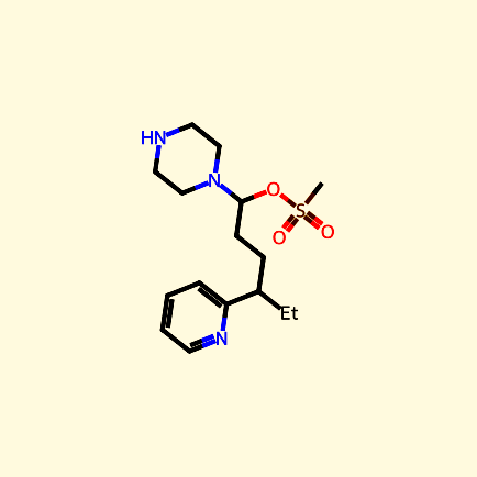 CCC(CCC(OS(C)(=O)=O)N1CCNCC1)c1ccccn1